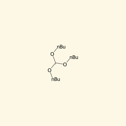 CCCCO[C](OCCCC)OCCCC